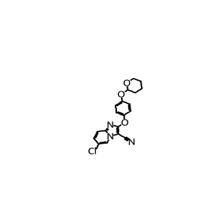 N#Cc1c(Oc2ccc(OC3CCCCO3)cc2)nc2ccc(Cl)cn12